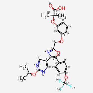 CC(C)Oc1ncc(-c2nc(COc3cccc(OC(C)(C)C(=O)O)c3)oc2-c2ccc(OC(F)(F)F)cc2)cn1